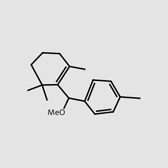 COC(C1=C(C)CCCC1(C)C)c1ccc(C)cc1